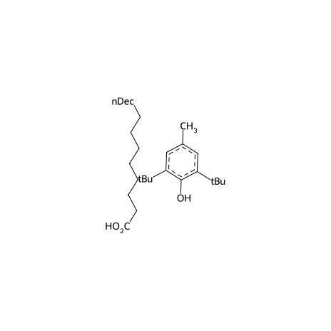 CCCCCCCCCCCCCCCCCC(=O)O.Cc1cc(C(C)(C)C)c(O)c(C(C)(C)C)c1